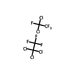 FC(F)(F)C(Cl)(Cl)Cl.FC(F)(F)C(F)(Cl)Cl